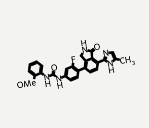 COc1ccccc1NC(=O)Nc1ccc(-c2ccc(-c3ncc(C)[nH]3)c3c2CNC3=O)c(F)c1